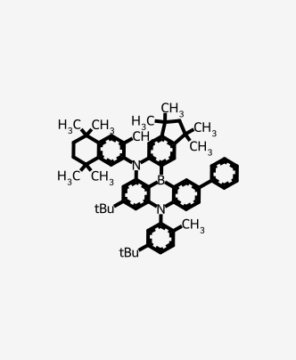 Cc1ccc(C(C)(C)C)cc1N1c2ccc(-c3ccccc3)cc2B2c3cc4c(cc3N(c3cc5c(cc3C)C(C)(C)CCC5(C)C)c3cc(C(C)(C)C)cc1c32)C(C)(C)CC4(C)C